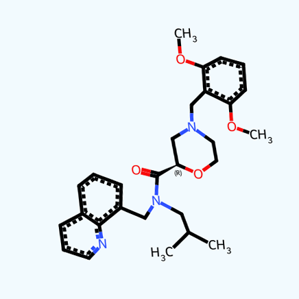 COc1cccc(OC)c1CN1CCO[C@@H](C(=O)N(Cc2cccc3cccnc23)CC(C)C)C1